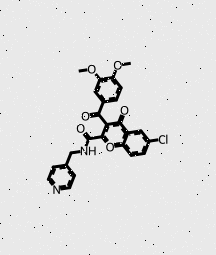 COc1ccc(C(=O)c2c(C(=O)NCc3ccncc3)oc3ccc(Cl)cc3c2=O)cc1OC